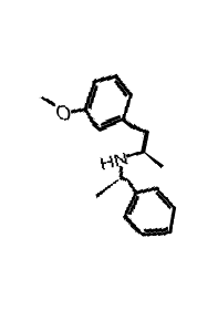 COc1cccc(C[C@@H](C)N[C@H](C)c2ccccc2)c1